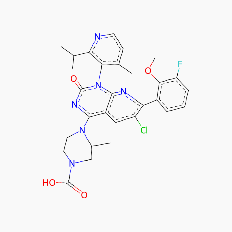 COc1c(F)cccc1-c1nc2c(cc1Cl)c(N1CCN(C(=O)O)CC1C)nc(=O)n2-c1c(C)ccnc1C(C)C